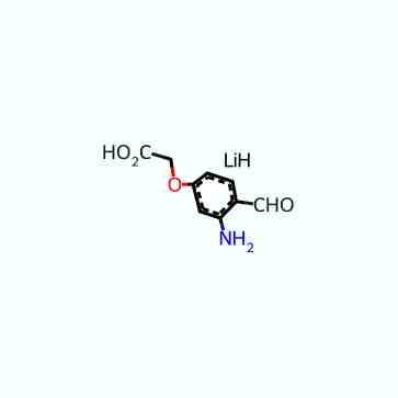 Nc1cc(OCC(=O)O)ccc1C=O.[LiH]